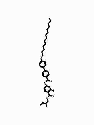 CCCCCCCCCCCCCCOc1ccc(-c2ccc(C(=O)Oc3ccc(C(=O)OCC(C)CC)c(F)c3)cc2)cc1